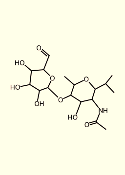 CC(=O)NC1C(O)C(OC2OC(C=O)C(O)C(O)C2O)C(C)OC1C(C)C